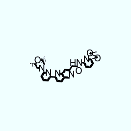 C[C@@H]1CN(c2cccc(-c3ccc4cnc(CC(=O)Nc5cccc(S(C)(=O)=O)n5)cc4n3)n2)C[C@H](C)O1